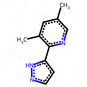 Cc1cnc(-c2ccn[nH]2)c(C)c1